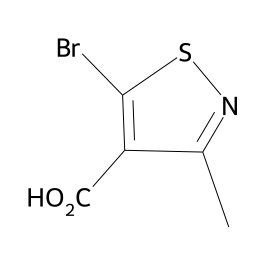 Cc1nsc(Br)c1C(=O)O